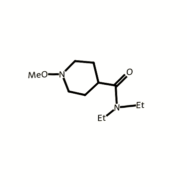 CCN(CC)C(=O)C1CCN(OC)CC1